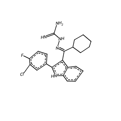 N=C(N)NN=C(c1c(-c2ccc(F)c(Cl)c2)[nH]c2ccccc12)C1CCCCC1